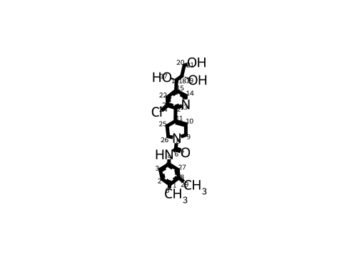 Cc1ccc(NC(=O)N2CC=C(c3ncc([C@H](O)[C@@H](O)CO)cc3Cl)CC2)cc1C